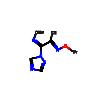 CON=C(C(C#N)=NOC(C)C)n1cncn1